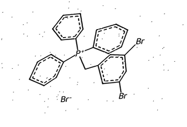 Brc1cc(Br)cc(C[P+](c2ccccc2)(c2ccccc2)c2ccccc2)c1.[Br-]